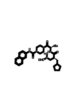 CC(C)(C)[C@H](NC(=O)[C@H](CC1CCCC1)CN(O)C=O)C(=O)N1CCN(C(=O)Nc2ccc3ccccc3c2)CC1